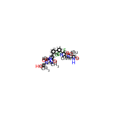 COc1nc(-c2cccc(-c3cccc(-c4cc5c(=O)n(C)c(CN(C(=O)OC(C)(C)C)C6CC(C)(O)C6)nn5c4)c3Cl)c2Cl)c(F)cc1CN(C[C@@H]1CCC(=O)N1)C(=O)OC(C)(C)C